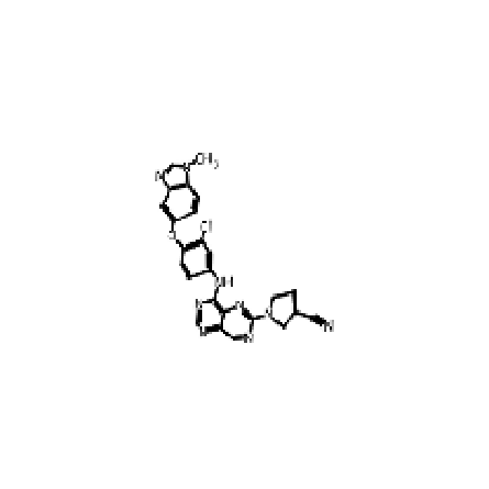 Cn1cnc2cc(Oc3ccc(Nc4ncnc5cnc(N6CCC(C#N)C6)nc45)cc3Cl)ccc21